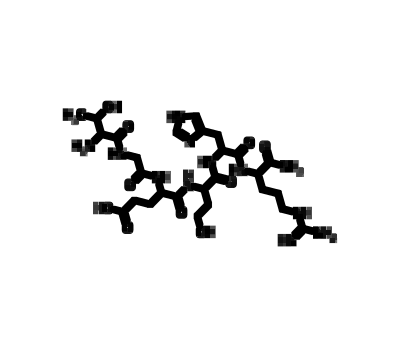 CC(O)C(N)C(=O)NCC(=O)NC(CCC(=O)O)C(=O)NC(CCO)C(=O)NC(Cc1c[nH]cn1)C(=O)NC(CCCNC(=N)N)C(N)=O